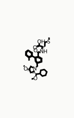 COC(C1CCCCC1)[C@@H]1C[C@@H](OC)CN1Cc1ccc(C(=O)N[C@@H](CCSC)C(=O)O)c(-c2ccccc2C)c1